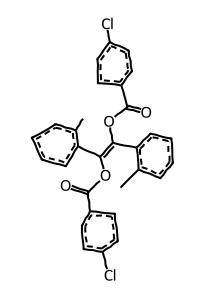 Cc1ccccc1/C(OC(=O)c1ccc(Cl)cc1)=C(\OC(=O)c1ccc(Cl)cc1)c1ccccc1C